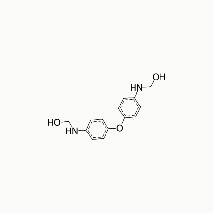 OCNc1ccc(Oc2ccc(NCO)cc2)cc1